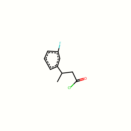 CC(CC(=O)Cl)c1cccc(F)c1